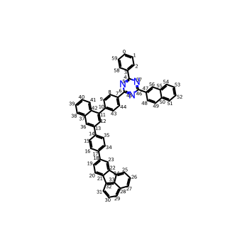 c1ccc(-c2nc(-c3ccc(-c4cc(-c5ccc(-c6ccc7c(c6)-c6cccc8cccc-7c68)cc5)cc5ccccc45)cc3)nc(-c3ccc4ccccc4c3)n2)cc1